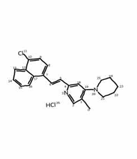 Cc1cnc(C=Cc2ccc(Cl)c3ccccc23)cc1N1CCCCC1.Cl